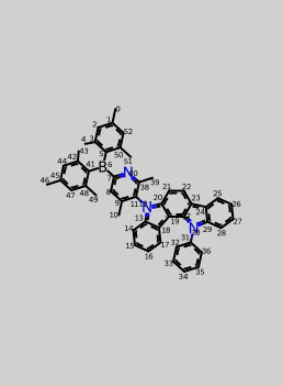 Cc1cc(C)c(B(c2cc(C)c(-n3c4ccccc4c4c3ccc3c5ccccc5n(-c5ccccc5)c34)c(C)n2)c2c(C)cc(C)cc2C)c(C)c1